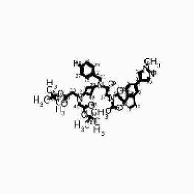 Cn1cc(-c2ccc3c(c2)CC[C@@]32OC(=O)N(CC(=O)N(Cc3ccc(F)cc3)C3CC(N(CC(=O)OC(C)(C)C)CC(=O)OC(C)(C)C)C3)C2=O)cn1